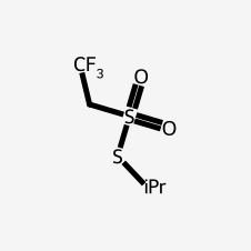 CC(C)SS(=O)(=O)CC(F)(F)F